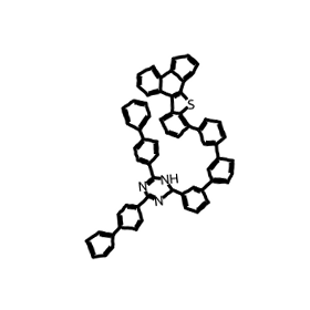 c1ccc(-c2ccc(C3=NC(c4cccc(-c5cccc(-c6cccc(-c7cccc8c7sc7c9ccccc9c9ccccc9c87)c6)c5)c4)NC(c4ccc(-c5ccccc5)cc4)=N3)cc2)cc1